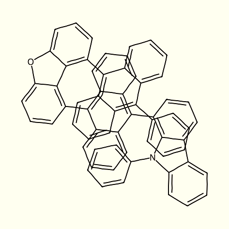 c1ccc(-c2c3ccccc3c(-c3cccc4oc5cccc(-c6c7ccccc7c(-c7cccc8c9ccccc9n(-c9ccccc9)c78)c7ccccc67)c5c34)c3ccccc23)cc1